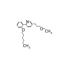 CCCCCCOc1ccccc1-c1ccc(CCCOCC)cn1